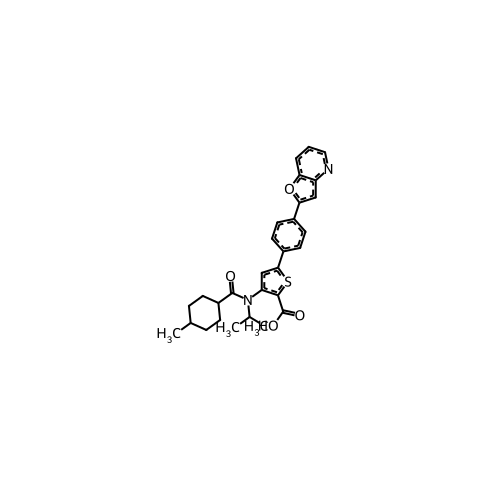 CC1CCC(C(=O)N(c2cc(-c3ccc(-c4cc5ncccc5o4)cc3)sc2C(=O)O)C(C)C)CC1